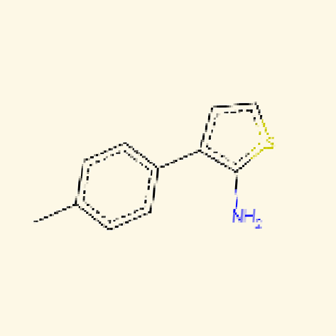 Cc1ccc(-c2ccsc2N)cc1